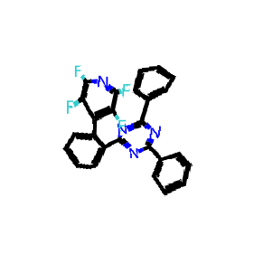 Fc1nc(F)c(F)c(-c2ccccc2-c2nc(-c3ccccc3)nc(-c3ccccc3)n2)c1F